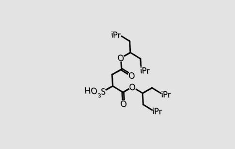 CC(C)CC(CC(C)C)OC(=O)CC(C(=O)OC(CC(C)C)CC(C)C)S(=O)(=O)O